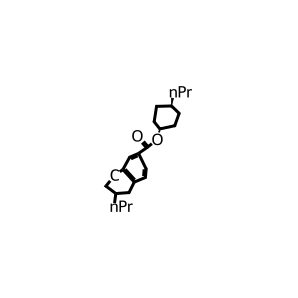 CCCC1CCc2cc(C(=O)O[C@H]3CC[C@H](CCC)CC3)ccc2C1